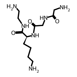 NCCCC[C@H](NC(=O)CNC(=O)CN)C(=O)NCCN